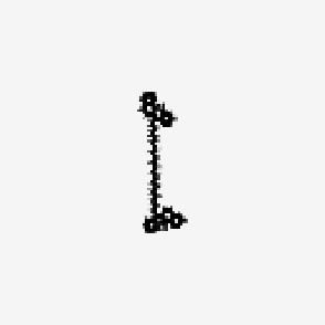 c1ccc2c(c1)ccc1c(CCCCCCCCCCCCCCCCCCCc3c4ccccc4nc4c3ccc3ccccc34)c3ccccc3nc12